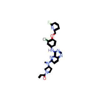 C=CC(=O)N1CCC(N(C)c2ccc3ncnc(Nc4ccc(OCc5cccc(F)n5)c(Cl)c4)c3n2)C1